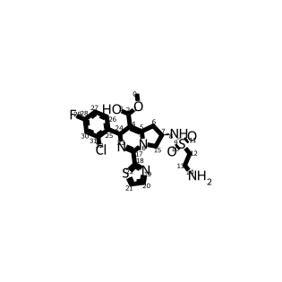 COC(O)C1=C2C[C@H](NS(=O)(=O)CCN)CN2C(c2nccs2)=NC1c1ccc(F)cc1Cl